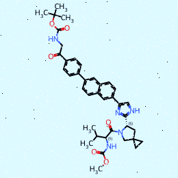 COC(=O)N[C@H](C(=O)N1CC2(CC2)C[C@H]1c1nc(-c2ccc3cc(-c4ccc(C(=O)CNC(=O)OC(C)(C)C)cc4)ccc3c2)c[nH]1)C(C)C